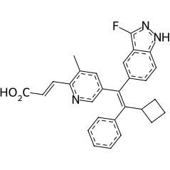 Cc1cc(/C(=C(\c2ccccc2)C2CCC2)c2ccc3[nH]nc(F)c3c2)cnc1/C=C/C(=O)O